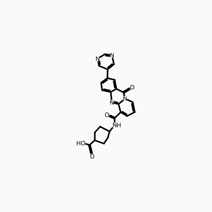 O=C(NC1CCC(C(=O)O)CC1)c1cccn2c(=O)c3cc(-c4cncnc4)ccc3nc12